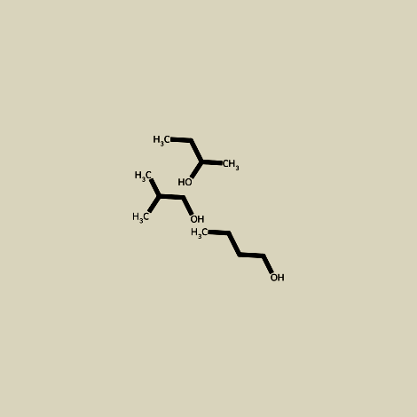 CC(C)CO.CCC(C)O.CCCCO